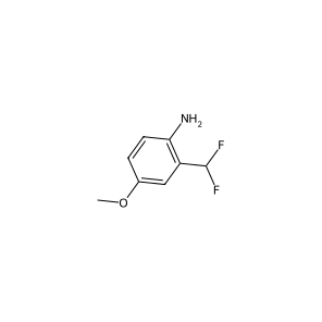 COc1ccc(N)c(C(F)F)c1